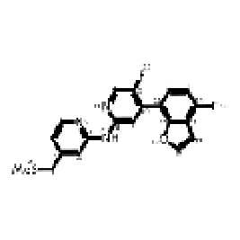 CSCc1ccnc(Nc2cc(-c3ccc(F)c4ccoc34)c(F)cn2)c1